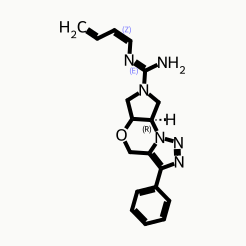 C=C/C=C\N=C(/N)N1CC2OCc3c(-c4ccccc4)nnn3[C@@H]2C1